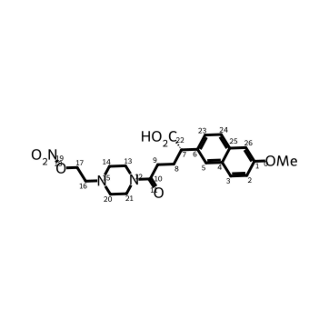 COc1ccc2cc([C@H](CCC(=O)N3CCN(CCO[N+](=O)[O-])CC3)C(=O)O)ccc2c1